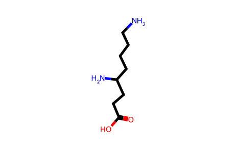 NCCCCC(N)CCC(=O)O